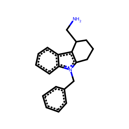 NCC1CCCc2c1c1ccccc1n2Cc1ccccc1